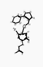 C=C(C)CCc1cc(F)c(OCC2=C(C3=CCCCC3)CCC2)cc1C